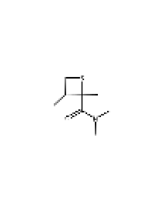 CC1CSC1(C)C(=O)N(C)C